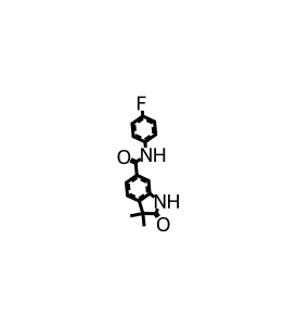 CC1(C)C(=O)Nc2cc(C(=O)Nc3ccc(F)cc3)ccc21